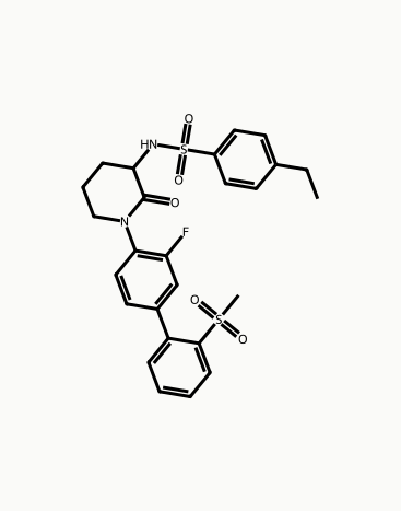 CCc1ccc(S(=O)(=O)NC2CCCN(c3ccc(-c4ccccc4S(C)(=O)=O)cc3F)C2=O)cc1